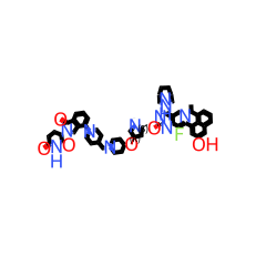 CCc1cccc2cc(O)cc(-c3ncc4c(N5CC6CCC(C5)N6)nc(OC[C@@H]5C[C@@H](OC6CCN(CC7CCN(c8cccc9c8CN(C8CCC(=O)NC8=O)C9=O)CC7)CC6)CN5C)nc4c3F)c12